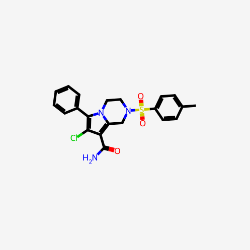 Cc1ccc(S(=O)(=O)N2CCn3c(c(C(N)=O)c(Cl)c3-c3ccccc3)C2)cc1